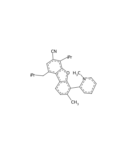 Cc1ccc2c(oc3c(C(C)C)c(C#N)cc(CC(C)C)c32)c1-c1cccc[n+]1C